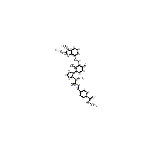 CNC(=O)c1ccc(/C=C/C(=O)C(N)c2cccn2-c2ccc(Cl)c(COc3cccc4c3nc(OC)n4C)c2Cl)cc1